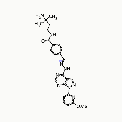 COc1cccc(-n2ncc3c(N/N=C/c4ccc(C(=O)NCCC(C)(C)N)cc4)ncnc32)n1